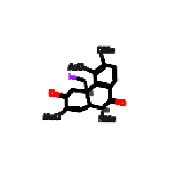 CN[C@H]1C(=O)c2ccc(OC)c(OC(C)=O)c2[C@]2(CI)CC(=O)C(OC)=CC12